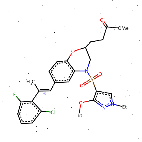 CCOc1nn(CC)cc1S(=O)(=O)N1CC(CCC(=O)OC)Oc2ccc(/C=C(\C)c3c(F)cccc3Cl)cc21